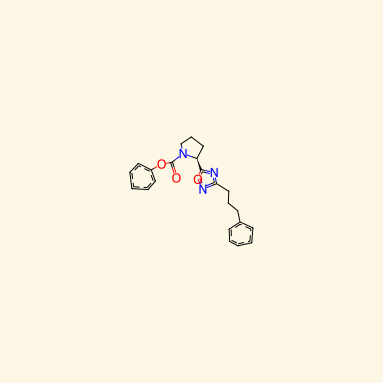 O=C(Oc1ccccc1)N1CCC[C@H]1c1nc(CCCc2ccccc2)no1